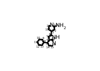 Nc1cc(-c2cc3c(-c4ccccc4)ccnc3[nH]2)ccn1